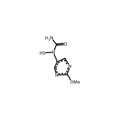 COc1ncc(N(S)C(N)=O)cn1